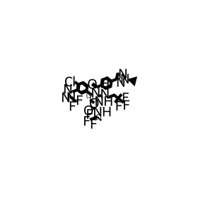 C[C@H](NC(=O)OC[C@H](c1ccc(Cl)c(-c2ncnn2C(F)F)c1)N(C(=N)NCCC(C)(C)C(F)(F)F)C(=O)c1ccc(-c2cnn(C3CC3)n2)cc1)C(F)(F)F